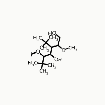 COC(CO)C(C(O)C(OI)C(C)(C)C)C(C)(C)C